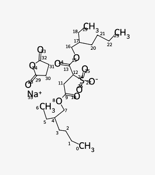 CCCCC(CC)COC(=O)CC(C(=O)OCC(CC)CCCC)S(=O)(=O)[O-].O=C1CCC(=O)O1.[Na+]